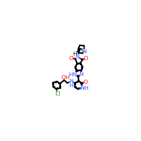 O=C1c2cc3nc(-c4c(NC[C@@H](O)c5cccc(Cl)c5)cc[nH]c4=O)[nH]c3cc2C(=O)N1[C@H]1CN2CCC1CC2